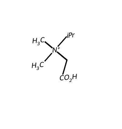 CC(C)[N+](C)(C)CC(=O)O